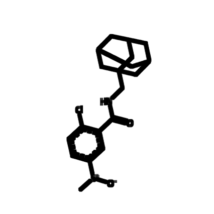 C[S+]([O-])c1ccc(Cl)c(C(=O)NCC23CC4CC(CC(C4)C2)C3)c1